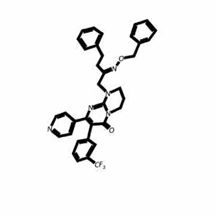 O=c1c(-c2cccc(C(F)(F)F)c2)c(-c2ccncc2)nc2n1CCCN2CC(CCc1ccccc1)=NOCc1ccccc1